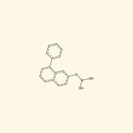 OB(O)Oc1ccc2cccc(-c3ccccc3)c2c1